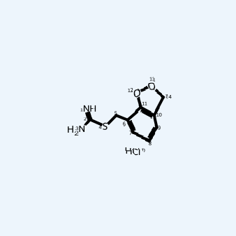 Cl.N=C(N)SCc1cccc2c1OOC2